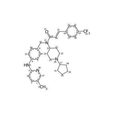 Cc1ccc(Nc2ccc(CN(C(=O)C=Cc3ccc(C(F)(F)F)cc3)C3CCN(C4CCCC4)CC3)cc2)nc1